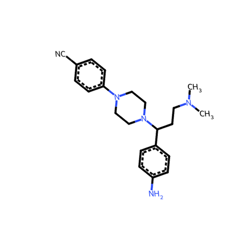 CN(C)CCC(c1ccc(N)cc1)N1CCN(c2ccc(C#N)cc2)CC1